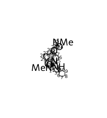 CNCC(CC1(I)CCCCC1)NC(=O)N1CCCC([C@@](C)(OCC(=O)NC)c2cccc(Cl)c2)C1